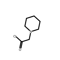 O=C(Cl)CN1CCCCC1